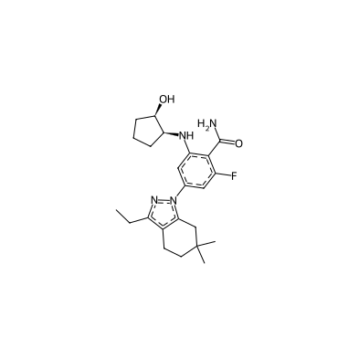 CCc1nn(-c2cc(F)c(C(N)=O)c(N[C@H]3CCC[C@H]3O)c2)c2c1CCC(C)(C)C2